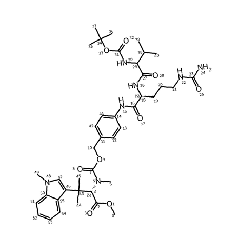 COC(=O)[C@@H](N(C)C(=O)OCc1ccc(NC(=O)[C@H](CCCNC(N)=O)NC(=O)C(NC(=O)OC(C)(C)C)C(C)C)cc1)C(C)(C)c1cn(C)c2ccccc12